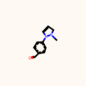 CN1CC=CN1c1ccc(C=O)cc1